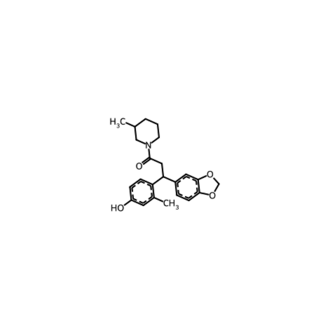 Cc1cc(O)ccc1C(CC(=O)N1CCCC(C)C1)c1ccc2c(c1)OCO2